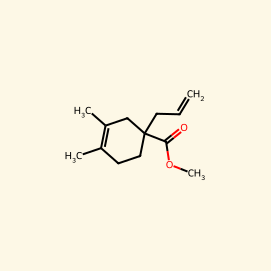 C=CCC1(C(=O)OC)CCC(C)=C(C)C1